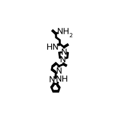 C=C(N)CCC(=N)C(=C)N1CCN(C(=C)c2cccc(-c3nc4ccccc4[nH]3)n2)CC1